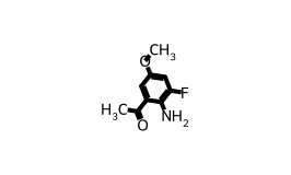 COc1cc(F)c(N)c(C(C)=O)c1